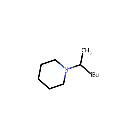 CCC(C)C(C)N1CCCCC1